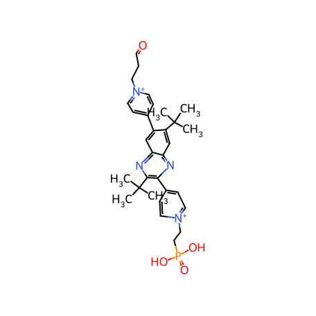 CC(C)(C)c1cc2nc(-c3cc[n+](CCP(=O)(O)O)cc3)c(C(C)(C)C)nc2cc1-c1cc[n+](CCC=O)cc1